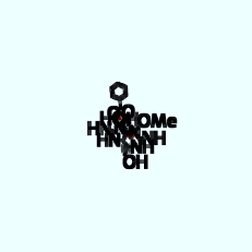 COC1[C@H](OC(=O)c2ccccc2)[C@](C)(O)C23C(NC(=N)N2O)[C@H](CO)NC(=N)N13